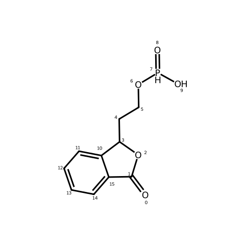 O=C1OC(CCO[PH](=O)O)c2ccccc21